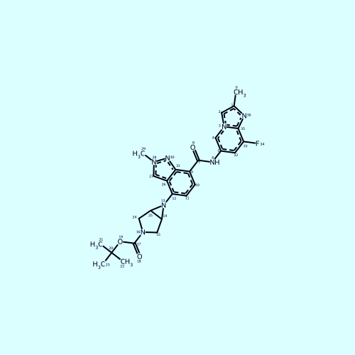 Cc1cn2cc(NC(=O)c3ccc(N4C5CN(C(=O)OC(C)(C)C)CC54)c4cn(C)nc34)cc(F)c2n1